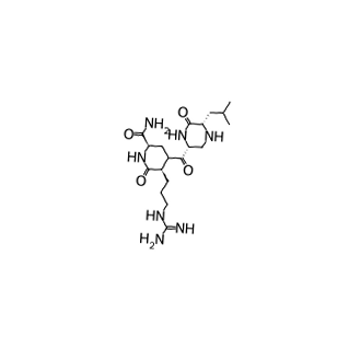 CC(C)C[C@@H]1NC[C@H](C(=O)C2C[C@H](C(N)=O)NC(=O)[C@@H]2CCCNC(=N)N)NC1=O